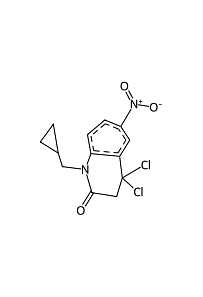 O=C1CC(Cl)(Cl)c2cc([N+](=O)[O-])ccc2N1CC1CC1